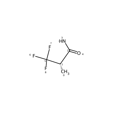 C[C@@H](C([NH])=O)C(F)(F)F